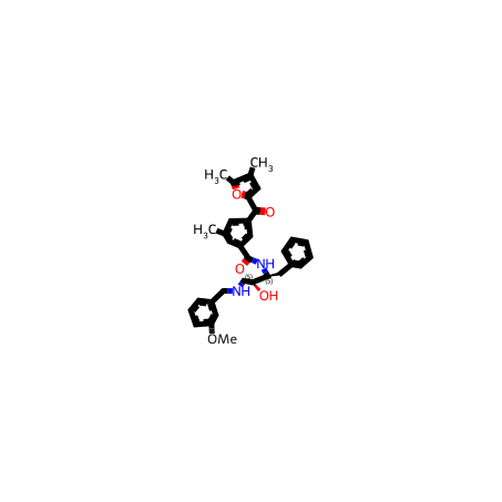 COc1cccc(CNC[C@H](O)[C@H](Cc2ccccc2)NC(=O)c2cc(C)cc(C(=O)c3cc(C)c(C)o3)c2)c1